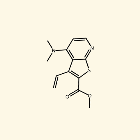 C=Cc1c(C(=O)OC)sc2nccc(N(C)C)c12